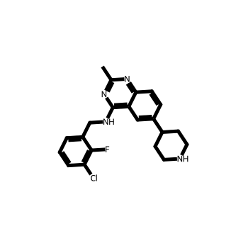 Cc1nc(NCc2cccc(Cl)c2F)c2cc(C3CCNCC3)ccc2n1